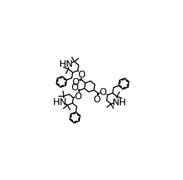 CC1(C)CC(OC(=O)C2CCC(C(=O)OC3CC(C)(C)NC(C)(C)C3Cc3ccccc3)C(C(=O)OC3CC(C)(C)NC(C)(C)C3Cc3ccccc3)C2)C(Cc2ccccc2)C(C)(C)N1